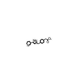 COC(=O)Cc1ccc(Cn2cc(-c3cccnc3)nn2)cc1